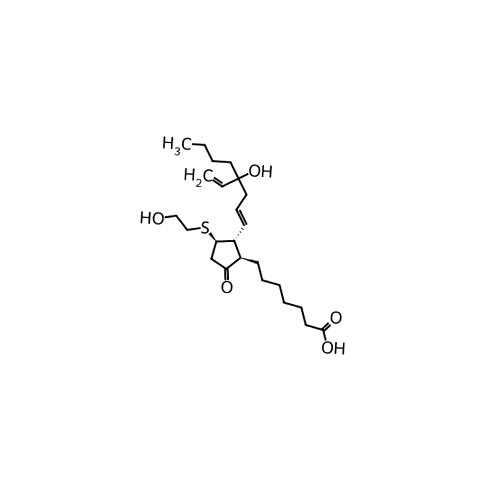 C=CC(O)(CC=C[C@H]1[C@H](SCCO)CC(=O)[C@@H]1CCCCCCC(=O)O)CCCC